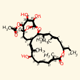 CCC1C/C=C(C)/C=C(\C)C2OC3OC(C)(CCC2/C=C(\C)C(O)C/C=C/C=C(\C)C(=O)O1)C(OC(C)=O)C(O)C3O